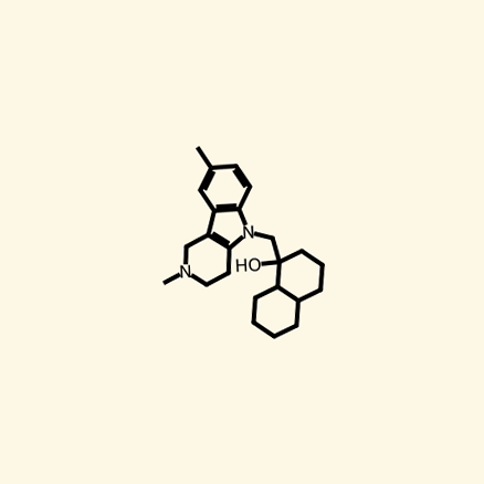 Cc1ccc2c(c1)c1c(n2CC2(O)CCCC3CCCCC32)CCN(C)C1